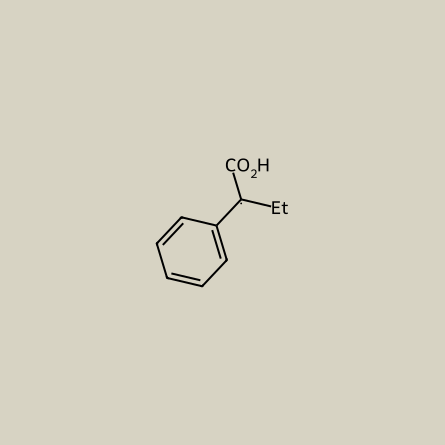 CC[C](C(=O)O)c1ccccc1